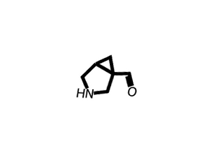 O=CC12CNCC1C2